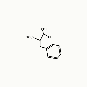 CCOC(=O)C(Cc1ccccc1)C(O)C(=O)O